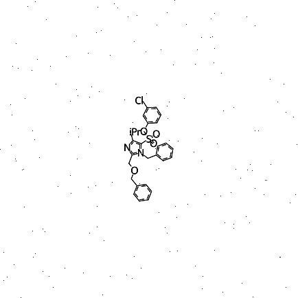 CC(C)c1nc(COCc2ccccc2)n(Cc2ccccc2)c1S(=O)(=O)Oc1cccc(Cl)c1